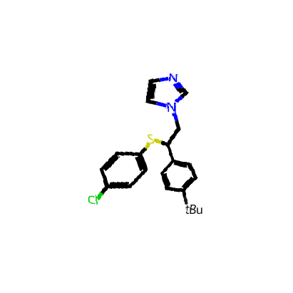 CC(C)(C)c1ccc(C(Cn2ccnc2)Sc2ccc(Cl)cc2)cc1